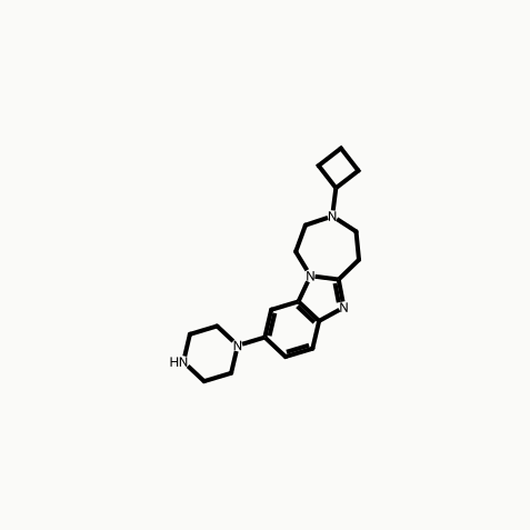 c1cc2nc3n(c2cc1N1CCNCC1)CCN(C1CCC1)CC3